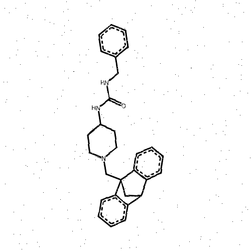 O=C(NCc1ccccc1)NC1CCN(CC23CC(c4ccccc42)c2ccccc23)CC1